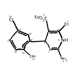 CCOC(=O)C1=C(CC)NC(N)=NC1c1cc(Cl)ccc1O